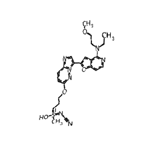 CCN(CCOC)c1nccc2oc(-c3cnc4ccc(OCCC[SH](C)(O)=NC#N)nn34)cc12